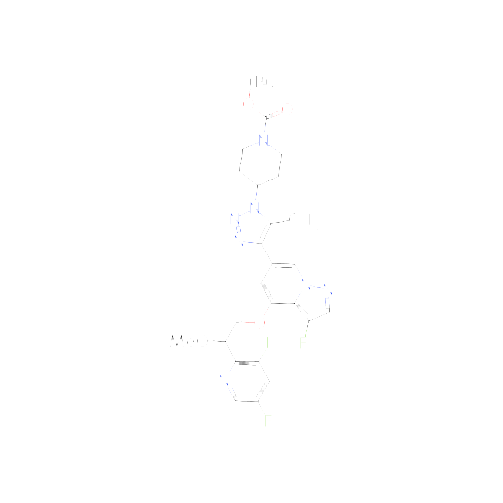 COC(COc1cc(-c2nnn(C3CCN(C(=O)OC(C)(C)C)CC3)c2C)cn2ncc(F)c12)c1ncc(F)cc1F